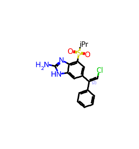 CC(C)S(=O)(=O)c1cc(/C(=C\Cl)c2ccccc2)cc2[nH]c(N)nc12